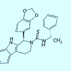 C[C@H](NC(=S)N1CCc2c([nH]c3ccccc23)[C@H]1c1ccc2c(c1)OCO2)c1ccccc1